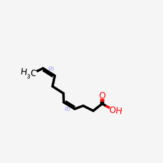 C/C=C\CC/C=C\CCC(=O)O